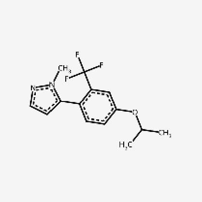 CC(C)Oc1ccc(-c2ccnn2C)c(C(F)(F)F)c1